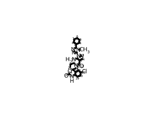 Cn1c(-c2ccccc2)nnc1-n1ncc(C(=O)N2CCC[C@@]3(C2)OC(=O)Nc2ccc(Cl)c(F)c23)c1N